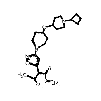 COC(=O)C(c1cc(N2CCC(OC3CCN(C4CCC4)CC3)CC2)no1)C(C)C